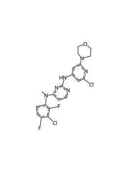 CN(c1ccnc(Nc2cc(Cl)nc(N3CCOCC3)c2)n1)c1ccc(F)c(Cl)c1F